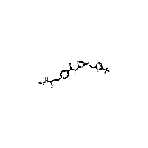 CONC(=O)/C=C/c1ccc(C(=O)Nc2ncc(SCc3ncc(C(C)(C)C)o3)s2)cc1